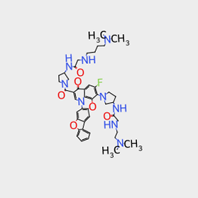 CN(C)CCCCNCC(=O)N[C@@H]1CCN(C(=O)c2cn3c4c(c(N5CC[C@@H](NC(=O)CNCCN(C)C)C5)c(F)cc4c2=O)Oc2cc4c(cc2-3)oc2ccccc24)C1